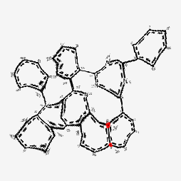 c1ccc(-c2nc(-c3ccccc3)nc(-c3ccccc3-c3nc4ccccc4c4c5ccccc5n(-c5ccccc5)c34)n2)cc1